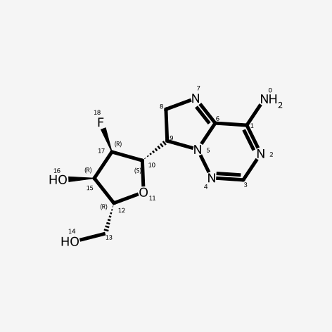 NC1=NC=NN2C1=NCC2[C@@H]1O[C@H](CO)[C@@H](O)[C@H]1F